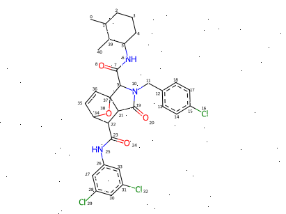 CC1CCCC(NC(=O)C2N(Cc3ccc(Cl)cc3)C(=O)C3C(C(=O)Nc4cc(Cl)cc(Cl)c4)C4C=CC32O4)C1C